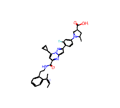 C/C=C(/C)c1ccccc1CCNC(=O)c1cc(C2CC2)n2nc(-c3ccc(N4CC(C(=O)O)CC4C)cc3F)cc2n1